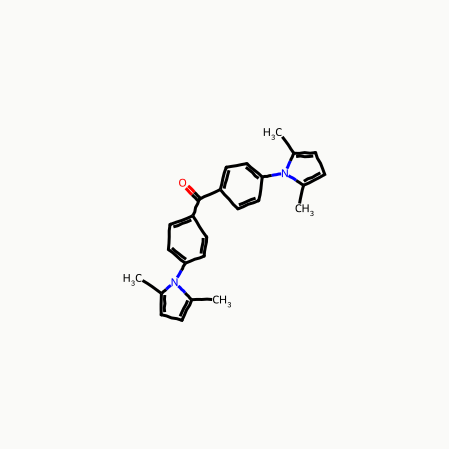 Cc1ccc(C)n1-c1ccc(C(=O)c2ccc(-n3c(C)ccc3C)cc2)cc1